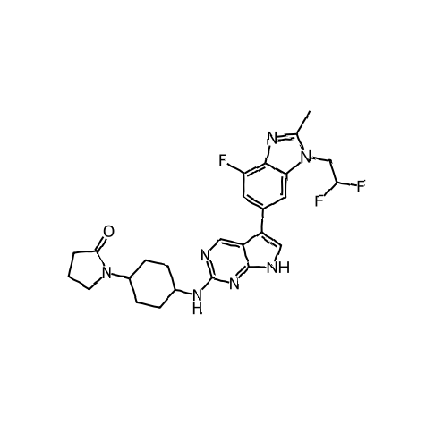 Cc1nc2c(F)cc(-c3c[nH]c4nc(NC5CCC(N6CCCC6=O)CC5)ncc34)cc2n1CC(F)F